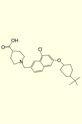 CC(C)(C)C1CCC(Oc2cc(Cl)c3cc(CN4CCC(C(=O)O)CC4)ccc3c2)CC1